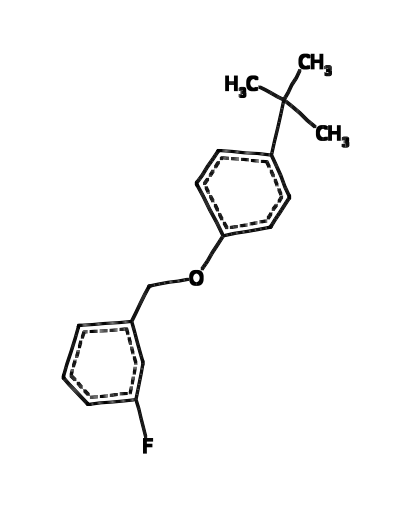 CC(C)(C)c1ccc(OCc2cccc(F)c2)cc1